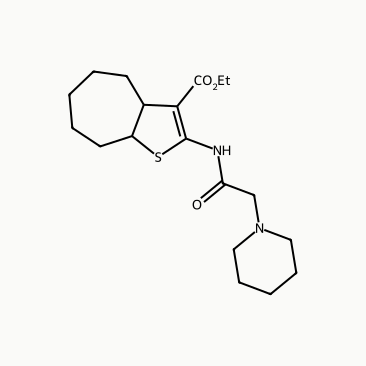 CCOC(=O)C1=C(NC(=O)CN2CCCCC2)SC2CCCCCC12